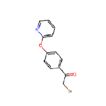 O=C(CBr)c1ccc(Oc2ccccn2)cc1